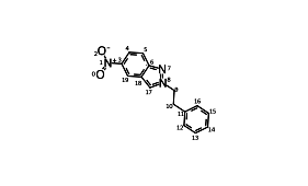 O=[N+]([O-])c1ccc2nn(CCc3ccccc3)cc2c1